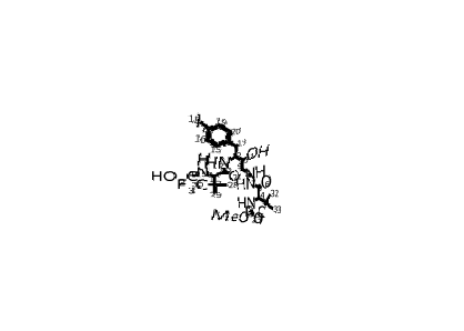 COC(=O)NC(C(=O)NNCC(O)C(Cc1ccc(I)cc1)NC(=O)C(NC(=O)O)C(C)(C)C(F)(F)F)C(C)(C)C(F)(F)F